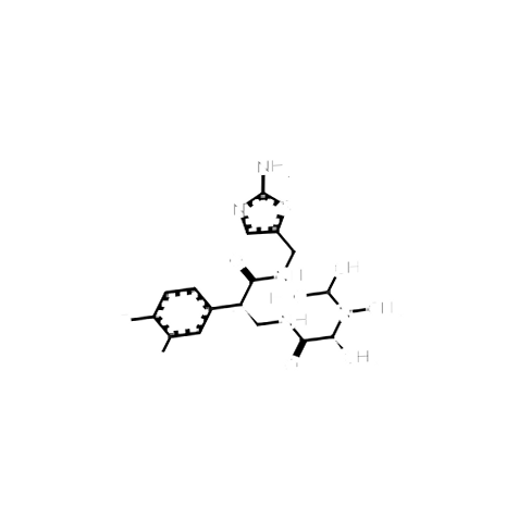 CC(C)N(C)[C@@H](C)C(=O)NC[C@H](C(=O)NCc1cnc(N)s1)c1ccc(F)c(F)c1